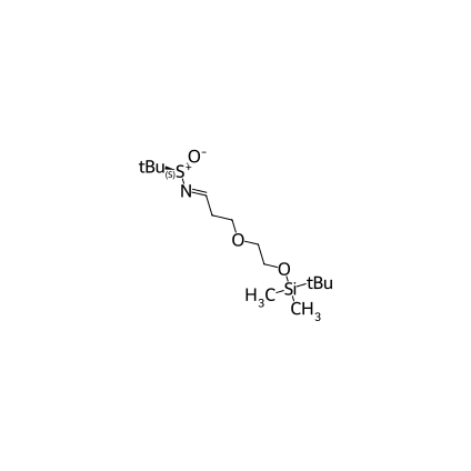 CC(C)(C)[S@@+]([O-])N=CCCOCCO[Si](C)(C)C(C)(C)C